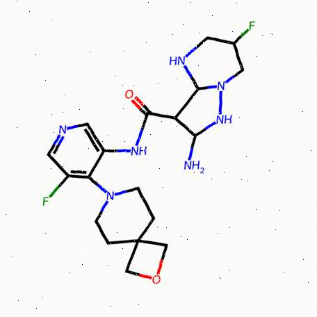 NC1NN2CC(F)CNC2C1C(=O)Nc1cncc(F)c1N1CCC2(CC1)COC2